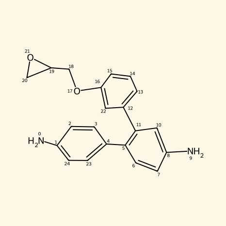 Nc1ccc(-c2ccc(N)cc2-c2cccc(OCC3CO3)c2)cc1